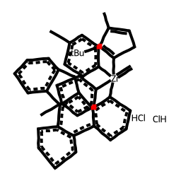 Cl.Cl.[CH2]=[Zr]([C]1=C(C(C)(C)C)C(C)=CC1)([c]1ccc(C)cc1)([c]1ccc(C)cc1)[c]1cccc2c1c1c(c3ccccc32)-c2ccccc2C1